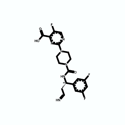 N=CC[C@H](NC(=O)N1CCN(c2ncc(F)c(C(=O)O)n2)CC1)c1cc(F)cc(F)c1